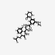 CCNc1cc(C(=O)N[C@@H](Cc2ccccc2)[C@@H](O)CNC(C)CCCC(C)C)cc(N2CCCCC2=O)c1